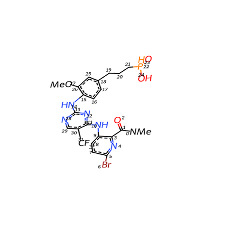 CNC(=O)c1nc(Br)ccc1Nc1nc(Nc2ccc(CCC[PH](=O)O)cc2OC)ncc1C(F)(F)F